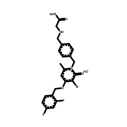 CNC(=O)CNCc1ccc(Cn2c(C)cc(OCc3ccc(F)cc3F)c(Br)c2=O)cc1.Cl